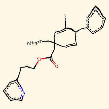 CCCCCCCC1(C(=O)OCCc2ccccn2)C=CC(c2ccccc2)C(C)=C1